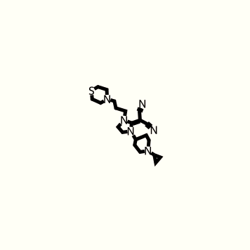 N#CC(C#N)=C1N(CCCN2CCSCC2)CCN1C1CCN(C2CC2)CC1